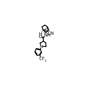 N#CN1C2CC[C@@H]1[C@H](NC(=O)C1CCN(c3cccc(C(F)(F)F)c3)C1)C2